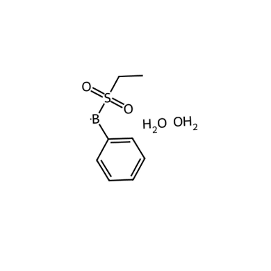 CCS(=O)(=O)[B]c1ccccc1.O.O